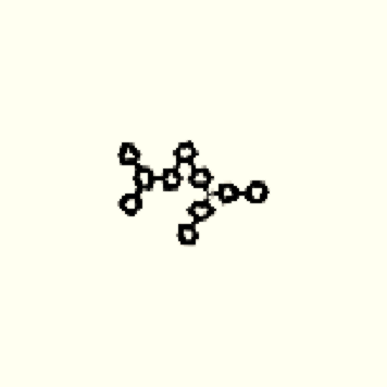 c1ccc(-c2ccc(N(c3ccc(-c4ccccc4)cc3)c3ccc(-c4ccccc4-c4cccc(-c5cc(-c6ccccc6)cc(-c6ccccc6)c5)c4)cc3)cc2)cc1